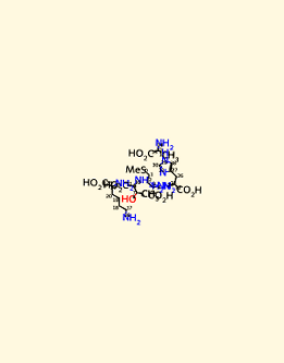 CSCC[C@H](N)C(=O)O.C[C@@H](O)[C@H](N)C(=O)O.C[C@H](N)C(=O)O.NCCCC[C@H](N)C(=O)O.N[C@@H](Cc1c[nH]cn1)C(=O)O